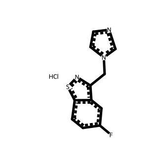 Cl.Fc1ccc2snc(Cn3ccnc3)c2c1